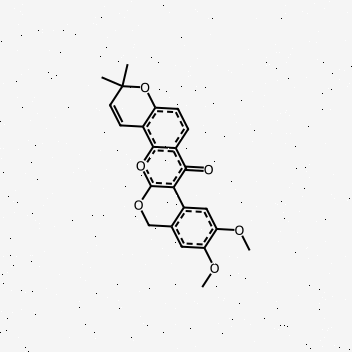 COc1cc2c(cc1OC)-c1c(oc3c4c(ccc3c1=O)OC(C)(C)C=C4)OC2